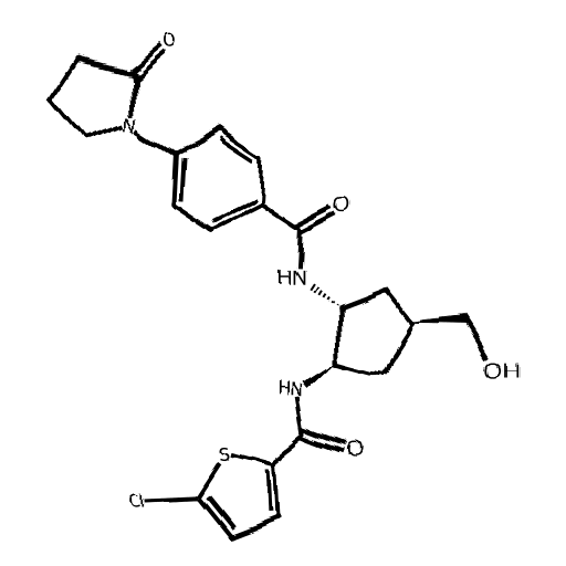 O=C(N[C@@H]1C[C@@H](CO)C[C@H]1NC(=O)c1ccc(Cl)s1)c1ccc(N2CCCC2=O)cc1